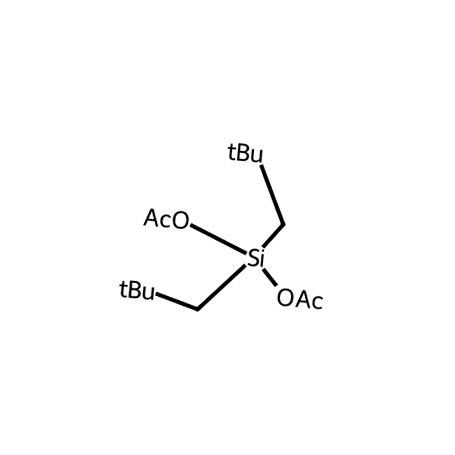 CC(=O)O[Si](CC(C)(C)C)(CC(C)(C)C)OC(C)=O